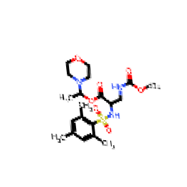 Cc1cc(C)c(S(=O)(=O)NC(CNC(=O)OC(C)(C)C)C(=O)OC(C)N2CCOCC2)c(C)c1